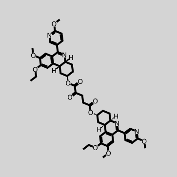 CCOc1cc2c(cc1OC)C(c1ccc(OC)nc1)=N[C@@H]1CC[C@@H](OC(=O)CCC(=O)C(=O)O[C@@H]3CC[C@H]4N=C(c5ccc(OC)nc5)c5cc(OC)c(OCC)cc5[C@H]4C3)C[C@H]21